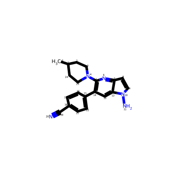 CC1CCN(c2nc3ccn(N)c3cc2-c2ccc(C#N)cc2)CC1